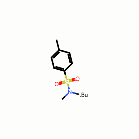 Cc1ccc(S(=O)(=O)N(C)C(C)(C)C)cc1